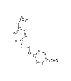 O=Cc1ccc(OCCc2ccc(CS(=O)(=O)O)cc2)cc1